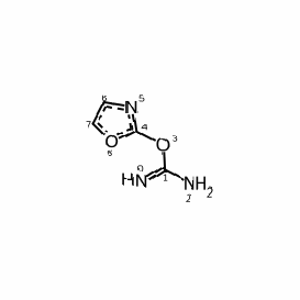 N=C(N)Oc1ncco1